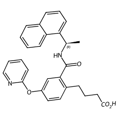 C[C@@H](NC(=O)c1cc(Oc2ccccn2)ccc1CCCC(=O)O)c1cccc2ccccc12